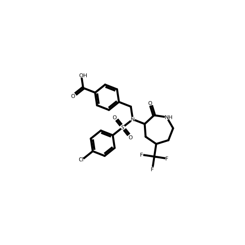 O=C(O)c1ccc(CN(C2CC(C(F)(F)F)CCNC2=O)S(=O)(=O)c2ccc(Cl)cc2)cc1